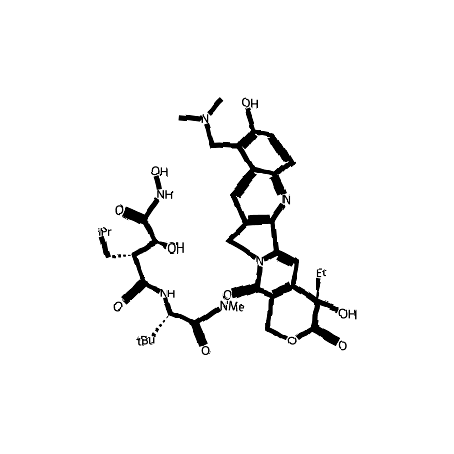 CC[C@@]1(O)C(=O)OCc2c1cc1n(c2=O)Cc2cc3c(CN(C)C)c(O)ccc3nc2-1.CNC(=O)[C@@H](NC(=O)[C@H](CC(C)C)[C@H](O)C(=O)NO)C(C)(C)C